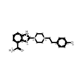 NC(=O)c1cccc2[nH]c(N3CCN(CCc4ccc(Cl)cc4)CC3)nc12